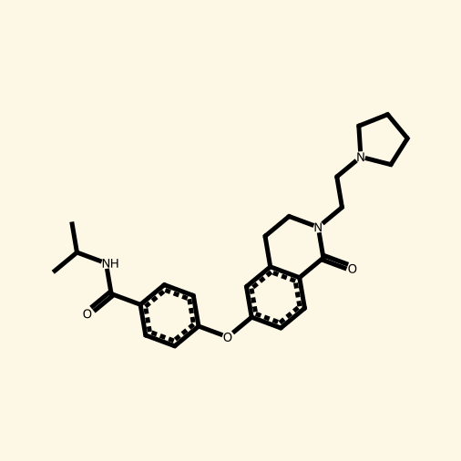 CC(C)NC(=O)c1ccc(Oc2ccc3c(c2)CCN(CCN2CCCC2)C3=O)cc1